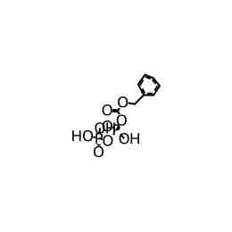 O=C(OCc1ccccc1)OP(=O)(O)OP(=O)(O)O